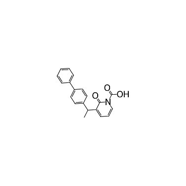 CC(c1ccc(-c2ccccc2)cc1)c1cccn(C(=O)O)c1=O